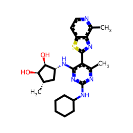 Cc1nc(NC2CCCCC2)nc(N[C@@H]2C[C@H](C)[C@@H](O)[C@H]2O)c1-c1nc2c(C)nccc2s1